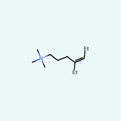 CC/C=C(/CC)CCC[N+](C)(C)C